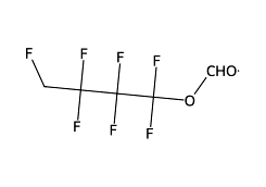 O=[C]OC(F)(F)C(F)(F)C(F)(F)CF